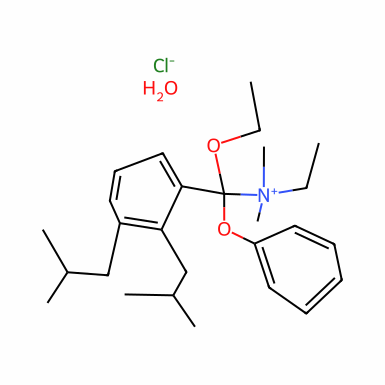 CCOC(Oc1ccccc1)(c1cccc(CC(C)C)c1CC(C)C)[N+](C)(C)CC.O.[Cl-]